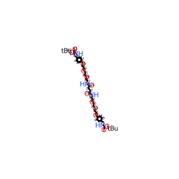 CC(C)(C)OC(=O)NCc1ccc(OCCOCCOCCNC(=O)CCC(=O)NCCOCCOCCOc2ccc(CNC(=O)OC(C)(C)C)cc2)cc1